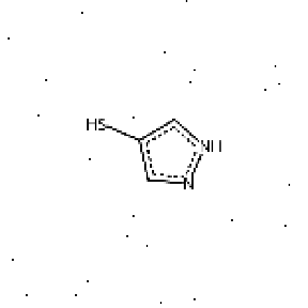 Sc1cn[nH]c1